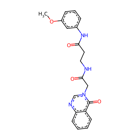 COc1cccc(NC(=O)CCNC(=O)Cn2cnc3ccccc3c2=O)c1